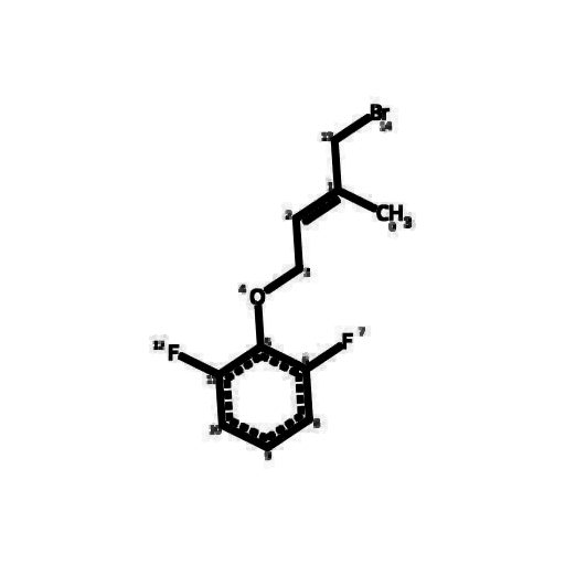 C/C(=C\COc1c(F)cccc1F)CBr